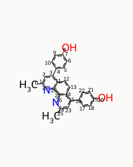 Cc1cc(-c2ccc(O)cc2)c2ccc3c(-c4ccc(O)cc4)cc(C)nc3c2n1